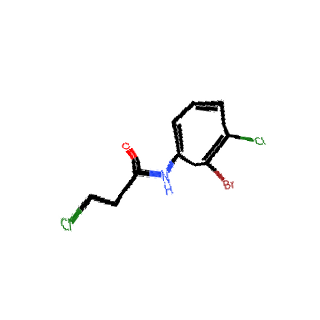 O=C(CCCl)Nc1cccc(Cl)c1Br